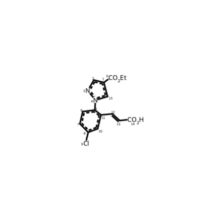 CCOC(=O)c1cnn(-c2ccc(Cl)cc2C=CC(=O)O)c1